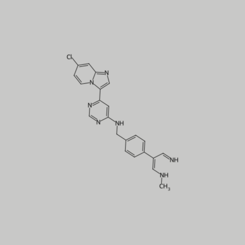 CN/C=C(\C=N)c1ccc(CNc2cc(-c3cnc4cc(Cl)ccn34)ncn2)cc1